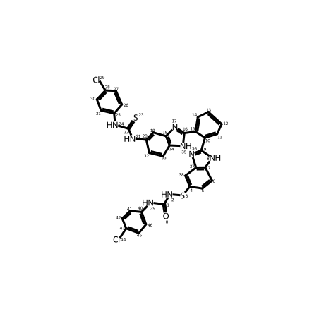 O=C(NSc1ccc2[nH]c(-c3ccccc3-c3nc4cc(NC(=S)Nc5ccc(Cl)cc5)ccc4[nH]3)nc2c1)Nc1ccc(Cl)cc1